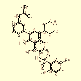 CC(C)C(=O)Nc1cc(/C(=C/NC2CCOCC2)C(=N)c2cccc(NS(=O)(=O)c3cc(F)ccc3F)c2F)ccn1